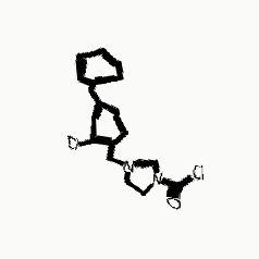 O=C(Cl)N1CCN(Cc2ccc(-c3ccccc3)cc2Cl)CC1